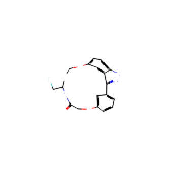 O=C1COc2cccc(c2)-c2n[nH]c3ccc(cc23)OCCC(CF)N1